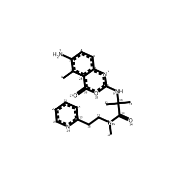 Cc1c(N)ccc2nc(NC(C)(C)C(=O)N(C)CCc3ccccn3)oc(=O)c12